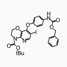 CC(C)(C)OC(=O)N1CCOc2c1ncc(I)c2Oc1ccc(NC(=O)OCc2ccccc2)cc1